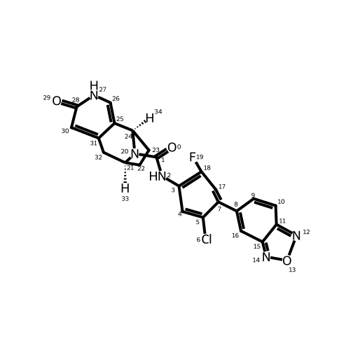 O=C(Nc1cc(Cl)c(-c2ccc3nonc3c2)cc1F)N1[C@H]2CC[C@@H]1c1c[nH]c(=O)cc1C2